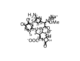 CO/N=C(\C(=O)NC1C(CSc2nc(=O)c([O-])nn2C)=C(C(=O)[O-])N2C(=O)C[C@H]2[S+]1[O-])c1c[se]c(N)n1.[Na+].[Na+]